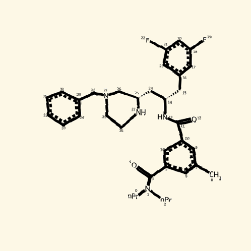 CCCN(CCC)C(=O)c1cc(C)cc(C(=O)N[C@@H](Cc2cc(F)cc(F)c2)C[C@H]2CN(Cc3ccccc3)CCN2)c1